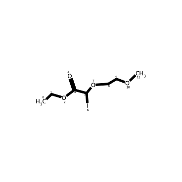 CCOC(=O)C(I)OCCOC